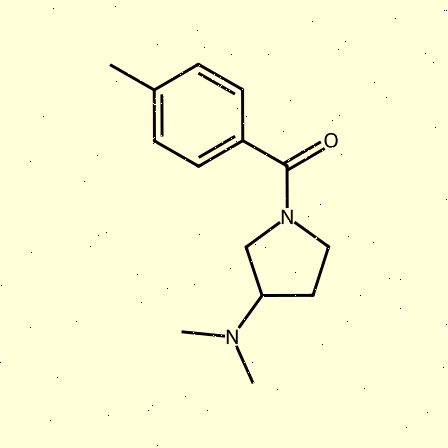 Cc1ccc(C(=O)N2CCC(N(C)C)C2)cc1